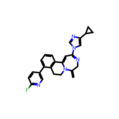 C=C1CN=C(n2cnc(C3CC3)c2)C=C2c3cccc(-c4ccc(F)nc4)c3CCN12